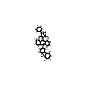 Cc1nn(-c2ccccc2)c(C)c1-c1c2ccccc2c(-c2ccc3oc4ccccc4c3c2)c2ccccc12